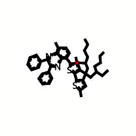 CCCCC(CC)CC1(CC(CC)CCCC)c2cc(C)sc2-c2sc(-c3ccc(C)c4nc(-c5ccccc5)c(-c5ccccc5)nc34)cc21